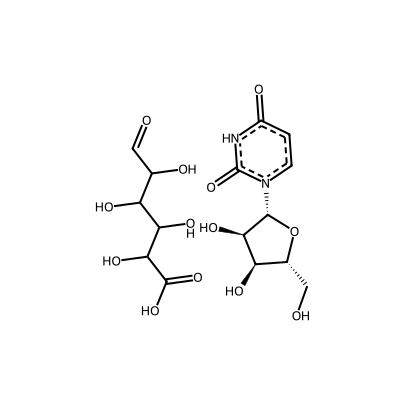 O=CC(O)C(O)C(O)C(O)C(=O)O.O=c1ccn([C@@H]2O[C@H](CO)[C@@H](O)[C@H]2O)c(=O)[nH]1